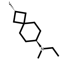 CCN(C)[C@H]1CCC2(CC1)C[C@@H](I)C2